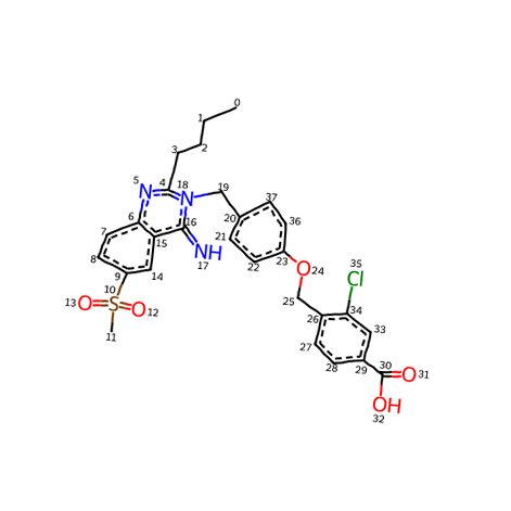 CCCCc1nc2ccc(S(C)(=O)=O)cc2c(=N)n1Cc1ccc(OCc2ccc(C(=O)O)cc2Cl)cc1